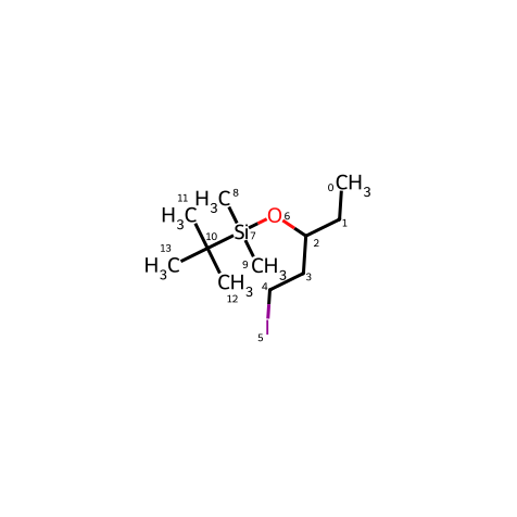 CCC(CCI)O[Si](C)(C)C(C)(C)C